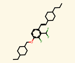 CCCC1CCC(/C=C/c2ccc(OCC3CCC(CC)CC3)c(F)c2C(F)F)CC1